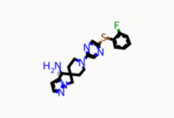 N[C@@H]1c2ccnn2CC12CCN(c1cnc(Sc3ccccc3F)cn1)CC2